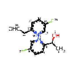 CC(O)c1ccc(F)cn1.O=CCc1ccc(F)cn1